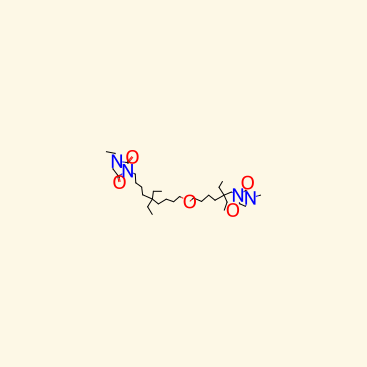 CCN1CC(=O)N(CCCCC(CC)(CC)CCCCOCCCCC(CC)(CC)CN2C(=O)CN(C)C2=O)C1=O